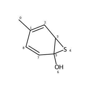 CC1=CC2SC2(O)C=C1